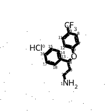 Cl.NCCC(Oc1ccc(C(F)(F)F)cc1)c1ccccc1